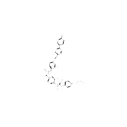 COc1ccc(CC(=O)Nc2ccc(C(=O)N(CC(=O)O)Cc3ccc(OCc4ccc(-c5ccc(C)cc5)cc4)cc3)cc2)c(C(F)(F)F)c1